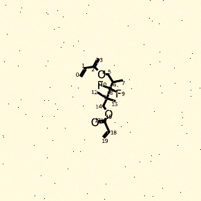 C=CC(=C)OCC(C)C(F)(F)C(C)(C)COC(=O)C=C